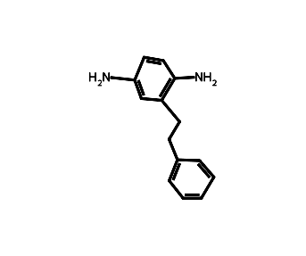 Nc1ccc(N)c(CCc2ccccc2)c1